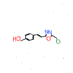 OCc1ccc(C=Cc2nnc(CCl)o2)cc1